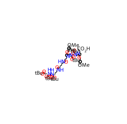 COc1ccc(COc2ccc(CCC(=O)NCCCCCC(=O)NCCCC[C@H](NC(=O)N[C@@H](CCC(=O)OC(C)(C)C)C(=O)OC(C)(C)C)C(=O)OC(C)(C)C)nc2CN(CCN(CC(=O)OC(C)(C)C)Cc2nc(CC(C(=O)O)C(C)(C)C)ccc2OCc2ccc(OC)cc2)CC(=O)OC(C)(C)C)cc1